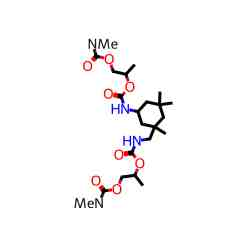 CNC(=O)OCC(C)OC(=O)NCC1(C)CC(NC(=O)OC(C)COC(=O)NC)CC(C)(C)C1